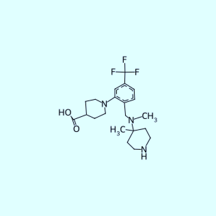 CN(Cc1ccc(C(F)(F)F)cc1N1CCC(C(=O)O)CC1)C1(C)CCNCC1